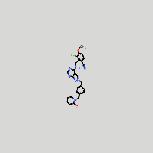 COc1ccc(C#N)c(CNc2ncnc3nn(Cc4ccc(Cn5ccccc5=O)cc4)cc23)c1F